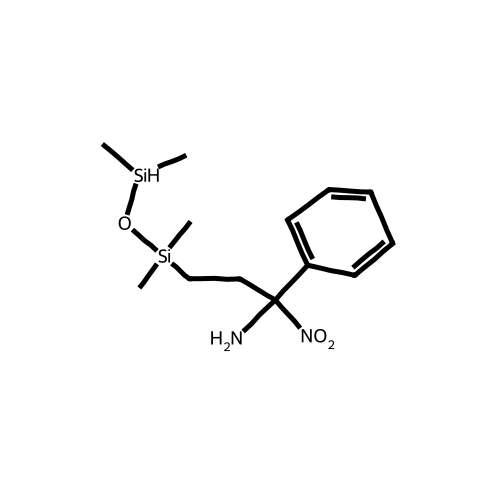 C[SiH](C)O[Si](C)(C)CCC(N)(c1ccccc1)[N+](=O)[O-]